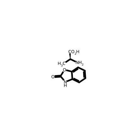 C[C@H](N)C(=O)O.O=c1[nH]c2ccccc2o1